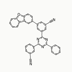 N#Cc1cccc(-c2nc(-c3ccccc3)nc(-c3cc(C#N)cc(-c4ccc5oc6ccccc6c5c4)c3)n2)c1